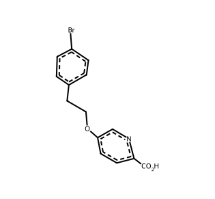 O=C(O)c1ccc(OCCc2ccc(Br)cc2)cn1